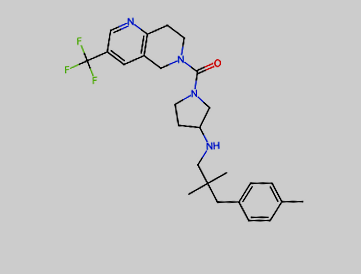 Cc1ccc(CC(C)(C)CNC2CCN(C(=O)N3CCc4ncc(C(F)(F)F)cc4C3)C2)cc1